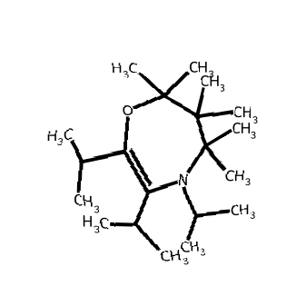 CC(C)C1=C(C(C)C)N(C(C)C)C(C)(C)C(C)(C)C(C)(C)O1